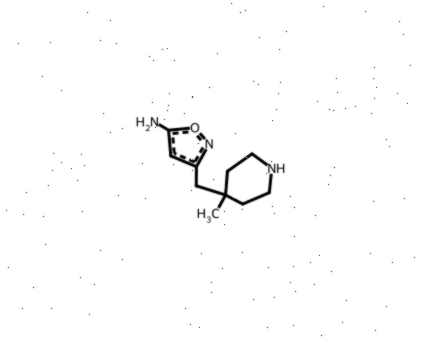 CC1(Cc2cc(N)on2)CCNCC1